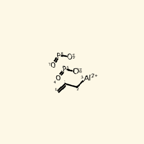 C=C[CH2][Al+2].O=P[O-].O=P[O-]